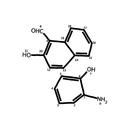 Nc1ccccc1O.O=Cc1c(O)ccc2ccccc12